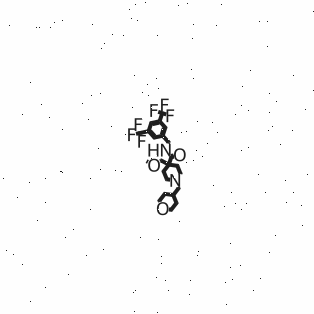 COCC1(C(=O)NCc2cc(C(F)(F)F)cc(C(F)(F)F)c2)CCN(CC2CCOCC2)CC1